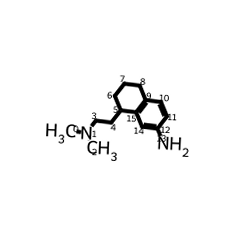 CN(C)CCC1CCCc2ccc(N)cc21